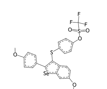 COc1ccc(-c2[se]c3cc(OC)ccc3c2Sc2ccc(OS(=O)(=O)C(F)(F)F)cc2)cc1